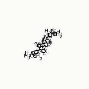 CC(C)(C)c1ccc(-c2c3ccccc3c(-c3ccc4c(F)cc5c(-c6ccc(C(C)(C)C)cc6)ccc6ccc3c4c65)c3ccc(F)cc23)cc1